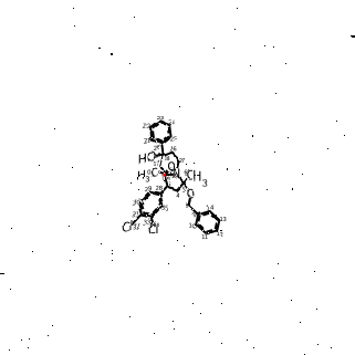 CC(=O)C(CC(C)(OCc1ccccc1)N1CCC(O)(c2ccccc2)CC1)c1ccc(Cl)c(Cl)c1